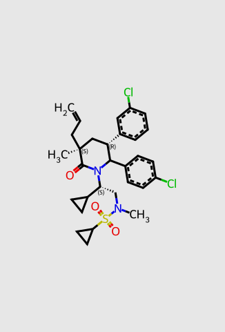 C=CC[C@@]1(C)C[C@H](c2cccc(Cl)c2)C(c2ccc(Cl)cc2)N([C@H](CN(C)S(=O)(=O)C2CC2)C2CC2)C1=O